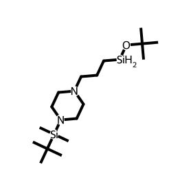 CC(C)(C)O[SiH2]CCCN1CCN([Si](C)(C)C(C)(C)C)CC1